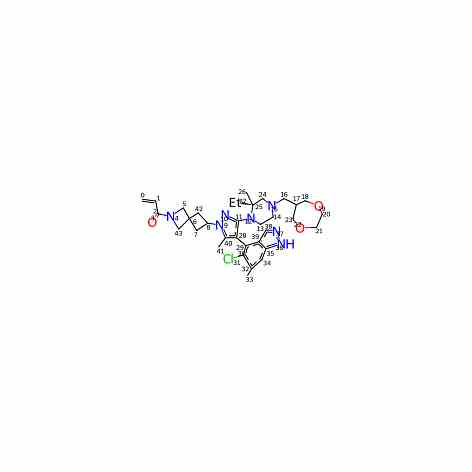 C=CC(=O)N1CC2(CC(n3nc(N4CCN(CC5COCCOC5)C[C@]4(C)CC)c(-c4c(Cl)c(C)cc5[nH]ncc45)c3C)C2)C1